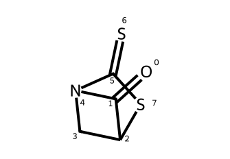 O=C1C2CN1C(=S)S2